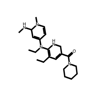 CCC1=C(N(CC)C2=CC(NC)N(C)C=C2)NCC(C(=O)N2CCCCC2)=C1